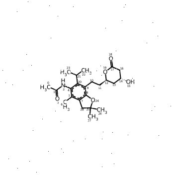 CC(=O)Nc1c(C)c2c(c(CC[C@@H]3C[C@@H](O)CC(=O)O3)c1C(C)C)OC(C)(C)C2